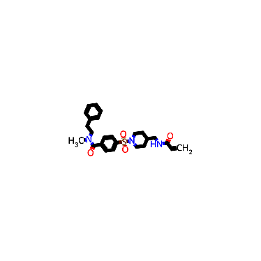 C=CC(=O)NCC1CCN(S(=O)(=O)c2ccc(C(=O)N(C)CCc3ccccc3)cc2)CC1